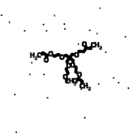 C=CC(=O)CCOCC(COCCOC)(COCCOC(=O)C=C)COCCOC(=O)C=C